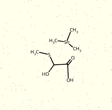 CSC(O)C(=O)O.[CH3][Sn]([CH3])[CH3]